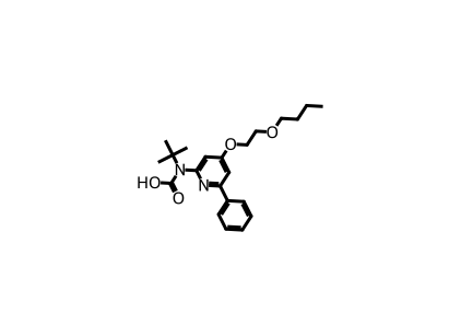 CCCCOCCOc1cc(-c2ccccc2)nc(N(C(=O)O)C(C)(C)C)c1